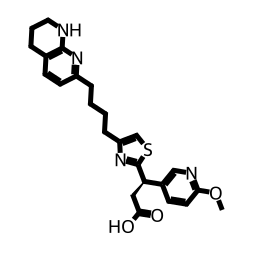 COc1ccc([C@@H](CC(=O)O)c2nc(CCCCc3ccc4c(n3)NCCC4)cs2)cn1